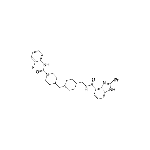 CC(C)c1nc2c(C(=O)NCC3CCN(CC4CCN(C(=O)Nc5ccccc5F)CC4)CC3)cccc2[nH]1